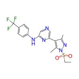 CCS(=O)(=O)n1nc(C)c(-c2cncc(Nc3ccc(C(F)(F)F)cc3)n2)c1C